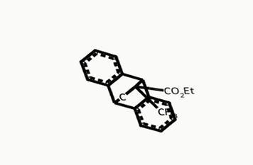 CCOC(=O)C1(C)CC2c3ccccc3C1c1ccccc12